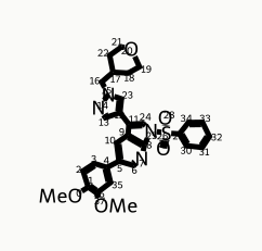 COc1ccc(-c2cnc3c(c2)c(-c2cnn(CC4CCOCC4)c2)cn3S(=O)(=O)c2ccccc2)cc1OC